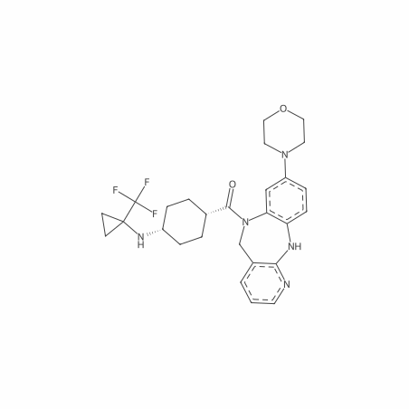 O=C([C@H]1CC[C@@H](NC2(C(F)(F)F)CC2)CC1)N1Cc2cccnc2Nc2ccc(N3CCOCC3)cc21